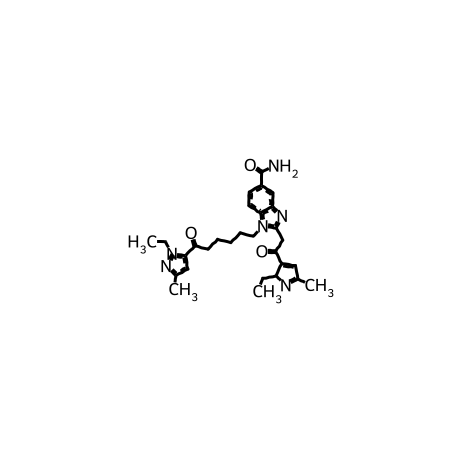 CCC1N=C(C)C=C1C(=O)Cc1nc2cc(C(N)=O)ccc2n1CCCCCC(=O)c1cc(C)nn1CC